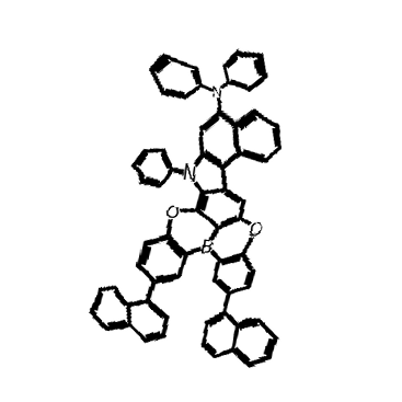 c1ccc(N(c2ccccc2)c2cc3c(c4ccccc24)c2cc4c5c(c2n3-c2ccccc2)Oc2ccc(-c3cccc6ccccc36)cc2B5c2cc(-c3cccc5ccccc35)ccc2O4)cc1